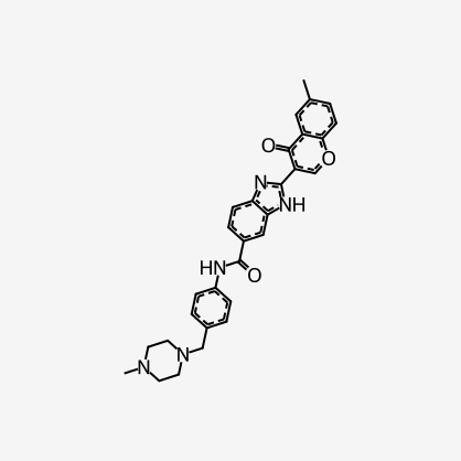 Cc1ccc2occ(-c3nc4ccc(C(=O)Nc5ccc(CN6CCN(C)CC6)cc5)cc4[nH]3)c(=O)c2c1